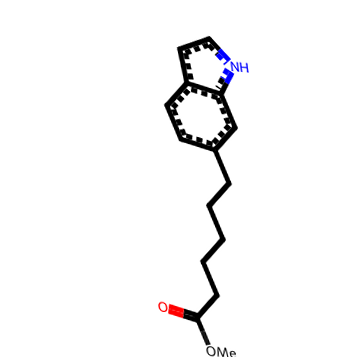 COC(=O)CCCCCc1ccc2cc[nH]c2c1